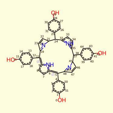 Oc1ccc(/C2=c3\cc/c([nH]3)=C(\c3ccc(O)cc3)C3=NC(C=C3)C(c3ccc(O)cc3)c3ccc([nH]3)C(c3ccc(O)cc3)C3C=CC2=N3)cc1